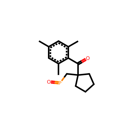 Cc1cc(C)c(C(=O)C2(CP=O)CCCC2)c(C)c1